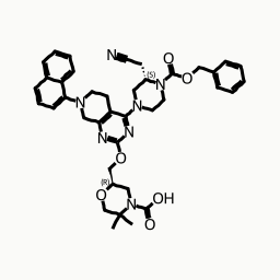 CC1(C)CO[C@@H](COc2nc3c(c(N4CCN(C(=O)OCc5ccccc5)[C@@H](CC#N)C4)n2)CCN(c2cccc4ccccc24)C3)CN1C(=O)O